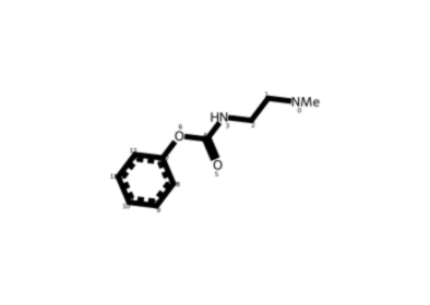 CNCCNC(=O)Oc1ccccc1